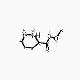 COOC(=O)C1CCC[N]N1